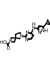 O=C(O)N1CC2(CCN(c3nccc(Nc4cc(C5CC5)[nH]n4)n3)C2)C1